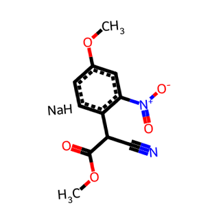 COC(=O)C(C#N)c1ccc(OC)cc1[N+](=O)[O-].[NaH]